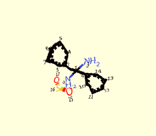 NC(N)(c1ccccc1)c1ccccc1.O=S=O